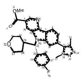 COC(=O)c1cnc2c3ccc(-c4c(C)nnn4C)cc3n([C@H](c3ccc(F)cc3)C3CCOCC3)c2c1